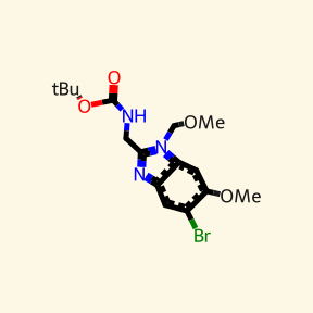 COCn1c(CNC(=O)OC(C)(C)C)nc2cc(Br)c(OC)cc21